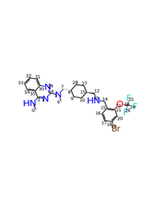 CNc1nc(N(C)C[C@H]2CC[C@H](CNCc3ccc(Br)cc3OC(F)(F)F)CC2)nc2ccccc12